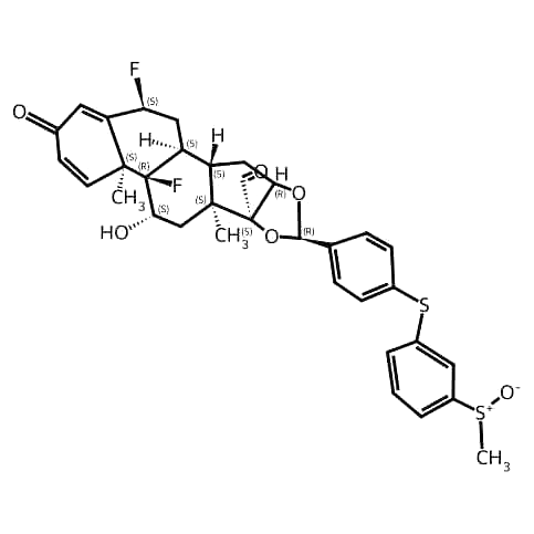 C[S+]([O-])c1cccc(Sc2ccc([C@@H]3O[C@@H]4C[C@H]5[C@@H]6C[C@H](F)C7=CC(=O)C=C[C@]7(C)[C@@]6(F)[C@@H](O)C[C@]5(C)[C@]4(C=O)O3)cc2)c1